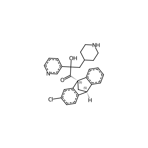 O=C(C(O)(CC1CCNCC1)c1cccnc1)[C@@]12C[C@@H](c3ccccc31)c1ccc(Cl)cc12